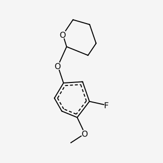 COc1ccc(OC2CCCCO2)cc1F